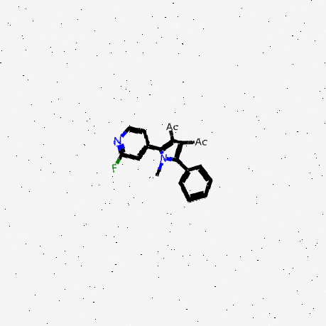 CC(=O)c1c(C(C)=O)c(-c2ccnc(F)c2)n(C)c1-c1ccccc1